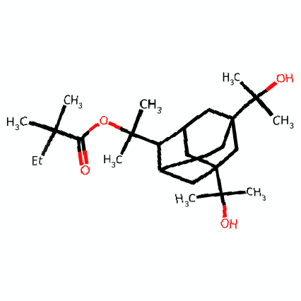 CCC(C)(C)C(=O)OC(C)(C)C1C2CC3(C(C)(C)O)CC1CC(C(C)(C)O)(C2)C3